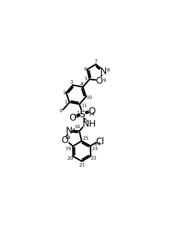 Cc1ccc(-c2ccno2)cc1S(=O)(=O)Nc1noc2cccc(Cl)c12